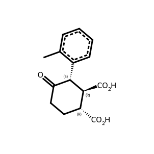 Cc1ccccc1[C@H]1C(=O)CC[C@@H](C(=O)O)[C@@H]1C(=O)O